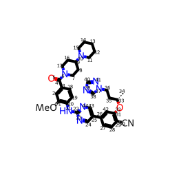 COc1cc(C(=O)N2CCC(N3CCCCC3)CC2)ccc1Nc1ncc(-c2ccc(C#N)c(O[C@@H](C)CCn3cncn3)c2)cn1